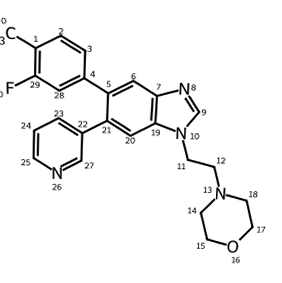 Cc1ccc(-c2cc3ncn(CCN4CCOCC4)c3cc2-c2cccnc2)cc1F